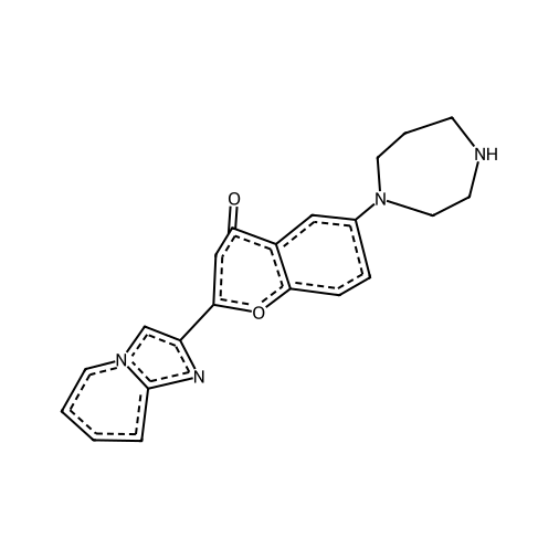 O=c1cc(-c2cn3ccccc3n2)oc2ccc(N3CCCNCC3)cc12